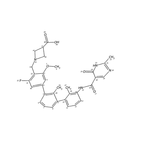 COc1cc(-c2cccc(-c3cccc(NC(=O)c4cnc(C)[nH]c4=O)c3C)c2C)cc(F)c1CN1CC(C(=O)O)C1